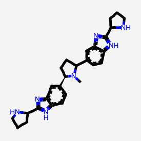 CN1C(c2ccc3[nH]c(C4CCCN4)nc3c2)CC[C@@H]1c1ccc2[nH]c(C3CCCN3)nc2c1